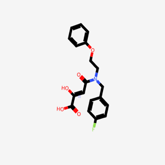 O=C(O)/C(O)=C/C(=O)N(CCOc1ccccc1)Cc1ccc(F)cc1